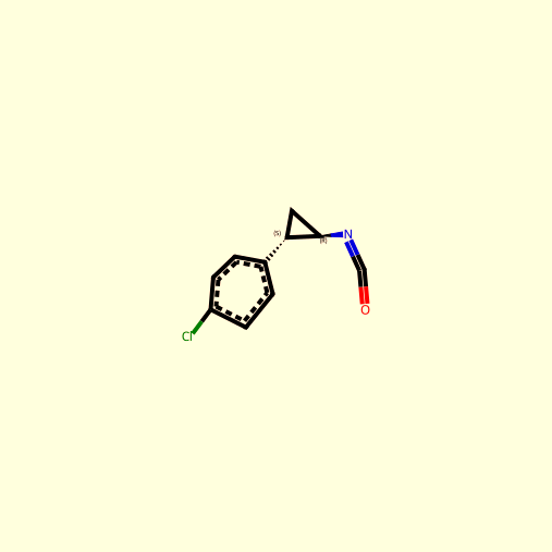 O=C=N[C@@H]1C[C@H]1c1ccc(Cl)cc1